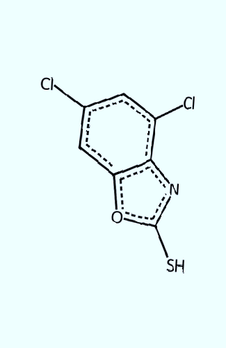 Sc1nc2c(Cl)cc(Cl)cc2o1